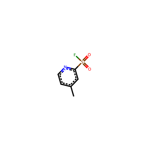 Cc1ccnc(S(=O)(=O)F)c1